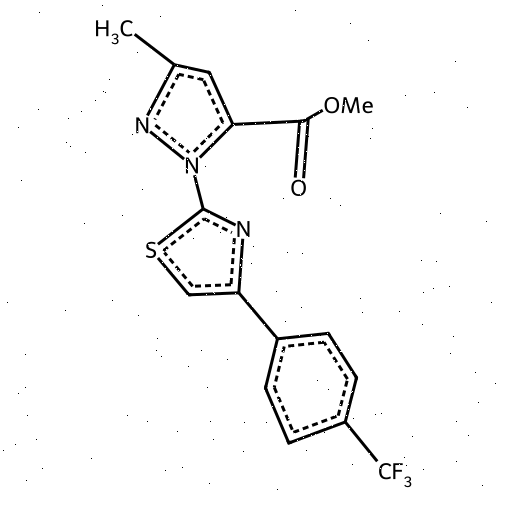 COC(=O)c1cc(C)nn1-c1nc(-c2ccc(C(F)(F)F)cc2)cs1